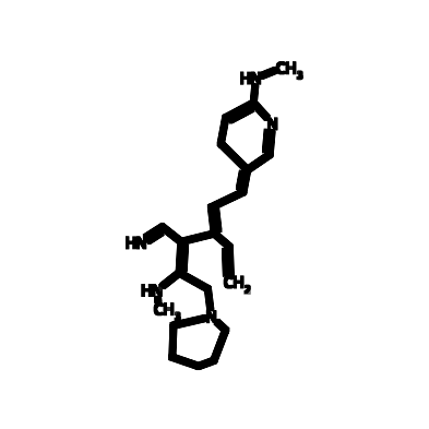 C=CC(=C\C=C1\C=NC(NC)=CC1)/C(C=N)=C(\CN1CCCCC1)NC